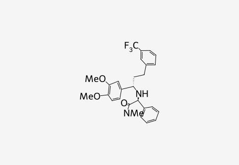 CNC(=O)[C@@H](N[C@@H](CCc1cccc(C(F)(F)F)c1)c1ccc(OC)c(OC)c1)c1ccccc1